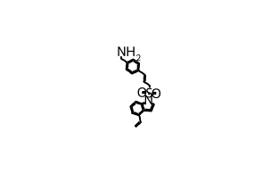 C=Cc1cccc2c1ccn2S(=O)(=O)CC=Cc1ccc(CN)cc1